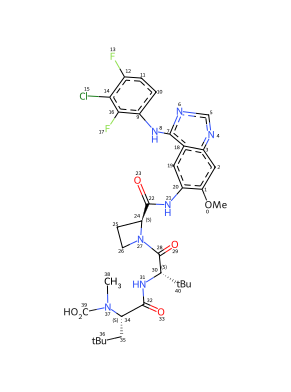 COc1cc2ncnc(Nc3ccc(F)c(Cl)c3F)c2cc1NC(=O)[C@@H]1CCN1C(=O)[C@@H](NC(=O)[C@H](CC(C)(C)C)N(C)C(=O)O)C(C)(C)C